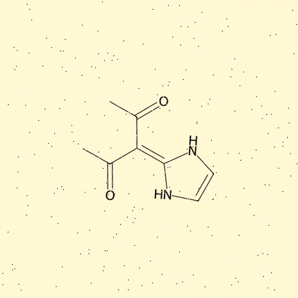 CC(=O)C(C(C)=O)=C1NC=CN1